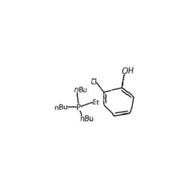 CCCC[P](CC)(CCCC)CCCC.Oc1ccccc1Cl